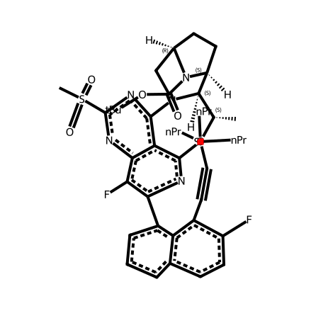 CCC[Si](C#Cc1c(F)ccc2cccc(-c3nc4c5c(nc(S(C)(=O)=O)nc5c3F)N3C[C@H]5CC[C@@H]([C@H]3[C@H](C)O4)N5C(=O)OC(C)(C)C)c12)(CCC)CCC